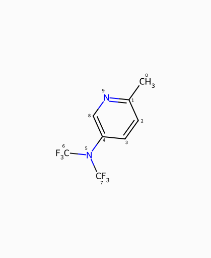 Cc1ccc(N(C(F)(F)F)C(F)(F)F)cn1